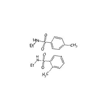 CCNS(=O)(=O)c1ccc(C)cc1.CCNS(=O)(=O)c1ccccc1C